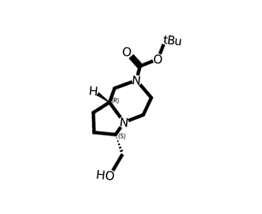 CC(C)(C)OC(=O)N1CCN2[C@H](CO)CC[C@@H]2C1